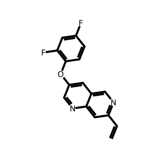 C=Cc1cc2ncc(Oc3ccc(F)cc3F)cc2cn1